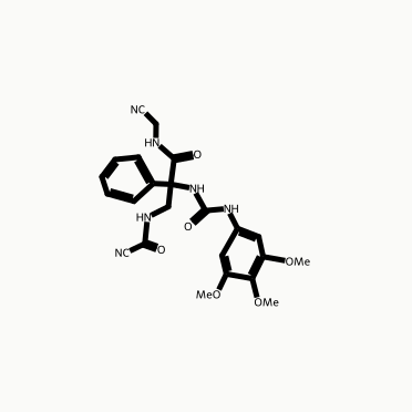 COc1cc(NC(=O)NC(CNC(=O)C#N)(C(=O)NCC#N)c2ccccc2)cc(OC)c1OC